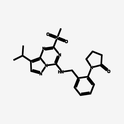 CC(C)c1cnn2c(NCc3ccccc3N3CCCC3=O)nc(S(C)(=O)=O)nc12